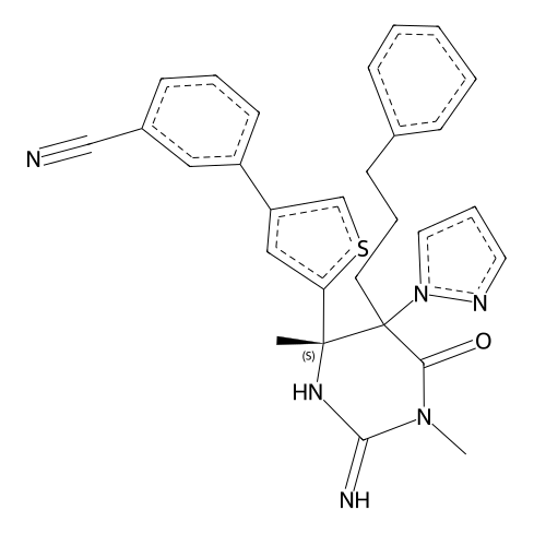 CN1C(=N)N[C@](C)(c2cc(-c3cccc(C#N)c3)cs2)C(CCCc2ccccc2)(n2cccn2)C1=O